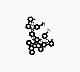 Cc1cccc2c1oc1c(N(c3ccc(C#N)cc3)c3ccc4c(c3)c3cc(N(c5ccc(C#N)cc5)c5cccc6c5oc5c(C)cccc56)cc5c3n4-c3ccccc3C53c4ccc5ccccc5c4-c4c3ccc3ccccc43)cccc12